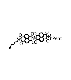 C#CCCCCC(C)N1C(=O)C2=c3c(ccc4c3=C(CC2)C(=O)N(N2C(=O)C3=c5c(ccc6c5=C(CC3)C(=O)N(C(C)CCCCC)C6=O)C2=O)C4=O)C1=O